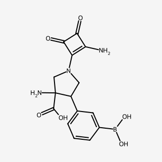 Nc1c(N2CC(c3cccc(B(O)O)c3)C(N)(C(=O)O)C2)c(=O)c1=O